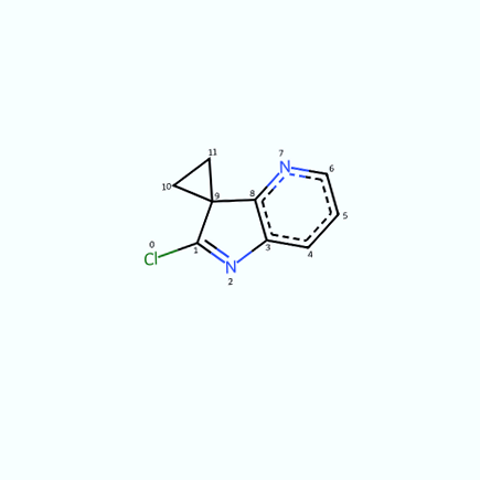 ClC1=Nc2cccnc2C12CC2